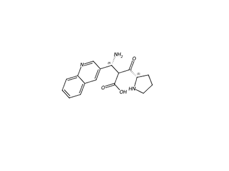 N[C@@H](c1cnc2ccccc2c1)C(C(=O)O)C(=O)[C@@H]1CCCN1